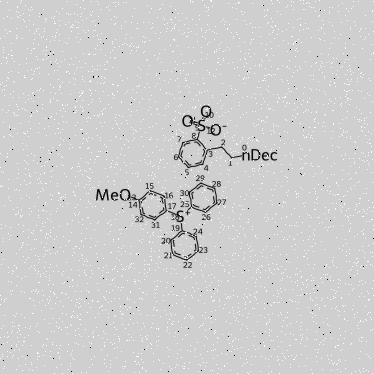 CCCCCCCCCCCCc1ccccc1S(=O)(=O)[O-].COc1ccc([S+](c2ccccc2)c2ccccc2)cc1